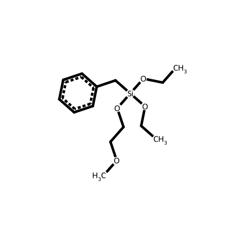 CCO[Si](Cc1ccccc1)(OCC)OCCOC